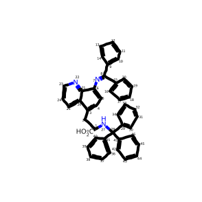 O=C(O)C(Cc1ccc(N=C(c2ccccc2)c2ccccc2)c2ncccc12)NC(c1ccccc1)(c1ccccc1)c1ccccc1